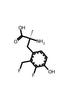 C[C@](N)(Cc1ccc(O)c(F)c1CF)C(=O)O